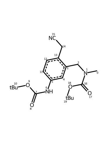 CN(Cc1cc(NC(=O)OC(C)(C)C)ccc1CC#N)C(=O)OC(C)(C)C